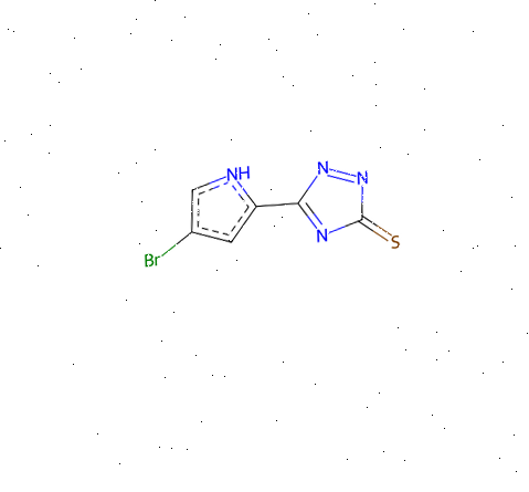 S=C1N=NC(c2cc(Br)c[nH]2)=N1